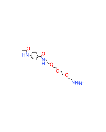 CC(=O)Nc1ccc(C(=O)NCCOCCOCCOCCN=[N+]=[N-])cc1